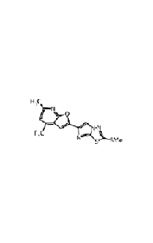 CSc1nn2cc(-c3cc4c(C(F)(F)F)cc(C)nc4o3)nc2s1